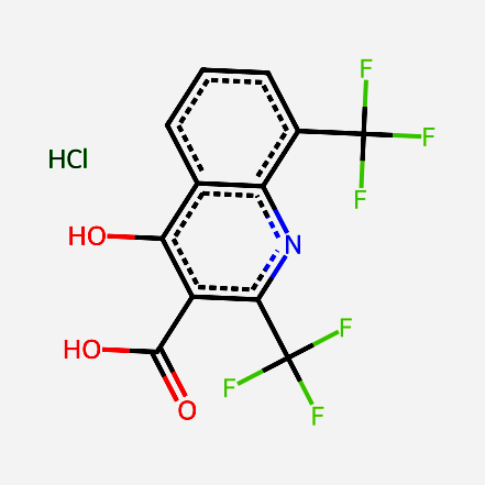 Cl.O=C(O)c1c(C(F)(F)F)nc2c(C(F)(F)F)cccc2c1O